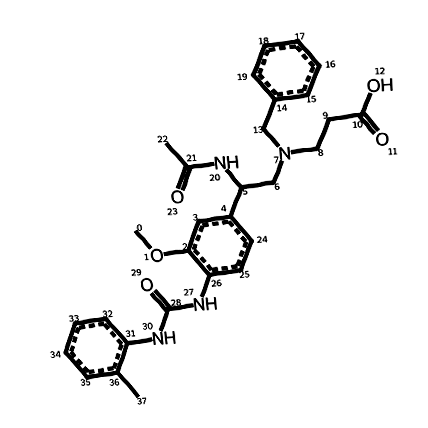 COc1cc(C(CN(CCC(=O)O)Cc2ccccc2)NC(C)=O)ccc1NC(=O)Nc1ccccc1C